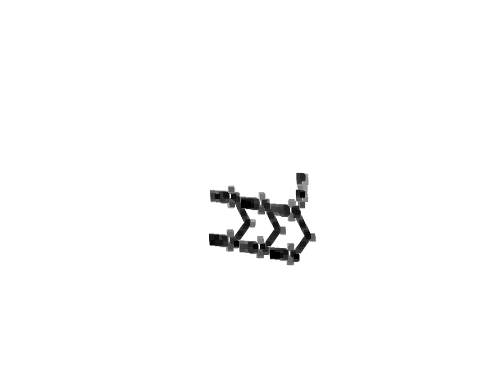 O=S(=O)(O)CS(=O)(=O)O.O=S(=O)(O)CS(=O)(=O)O.O=S(=O)(O)CS(=O)(=O)O.[P].[P]